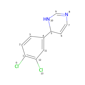 Clc1ccc(C2C=CN=CN2)cc1Cl